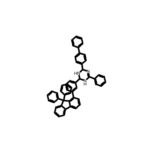 c1ccc(C2=NC(c3ccc(-c4ccccc4)cc3)NC(c3cccc(-c4cccc5c4C(c4ccccc4)(c4ccccc4)c4ccccc4-5)c3)N2)cc1